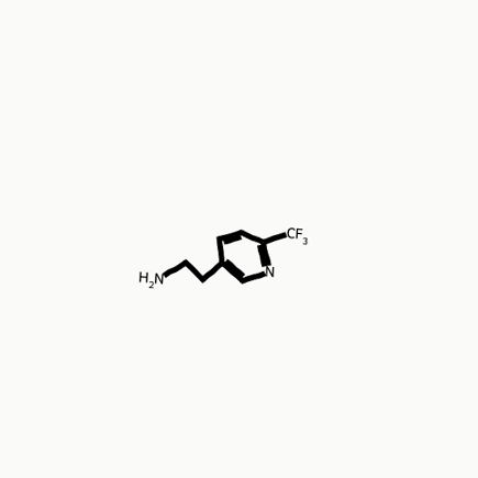 NCCc1ccc(C(F)(F)F)nc1